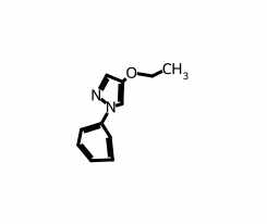 CCOc1cnn(-c2ccccc2)c1